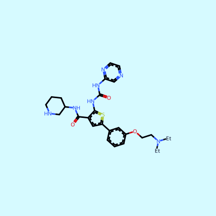 CCN(CC)CCOc1cccc(-c2cc(C(=O)NC3CCCNC3)c(NC(=O)Nc3cnccn3)s2)c1